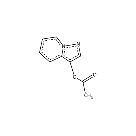 CC(=O)Oc1cnn2ccccc12